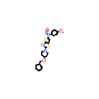 COc1ccc(N(N=O)c2cc3sc(N4CCC(OCc5ccccc5)CC4)nc3s2)cc1